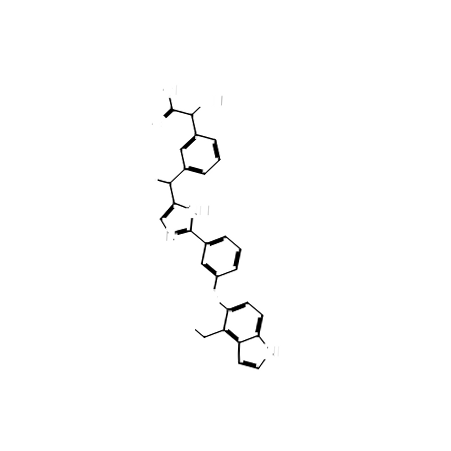 CCc1c(Oc2cccc(-c3ncc(C(O)c4cccc(C(C)C(=O)O)c4)[nH]3)c2)ccc2[nH]ccc12